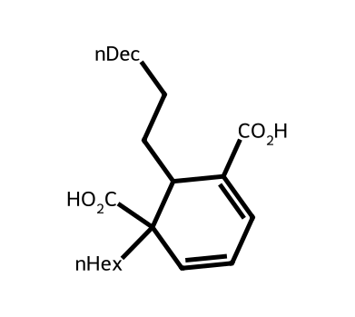 CCCCCCCCCCCCC1C(C(=O)O)=CC=CC1(CCCCCC)C(=O)O